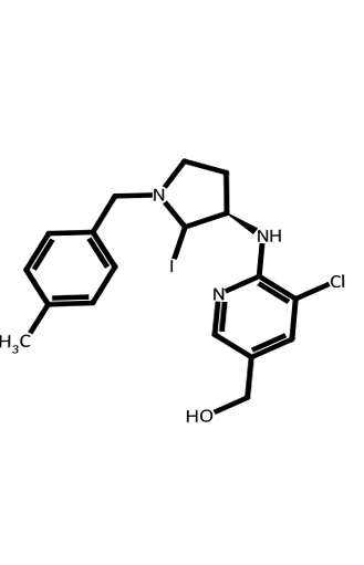 Cc1ccc(CN2CC[C@@H](Nc3ncc(CO)cc3Cl)C2I)cc1